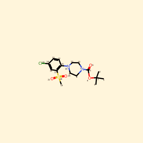 CC(C)(C)OC(=O)N1CCN(c2ccc(Cl)cc2S(C)(=O)=O)CC1